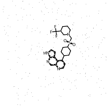 O=S(=O)(CN1CCCC(C(F)(F)F)C1)C1CCC(c2ccnc3cnc4[nH]ccc4c23)CC1